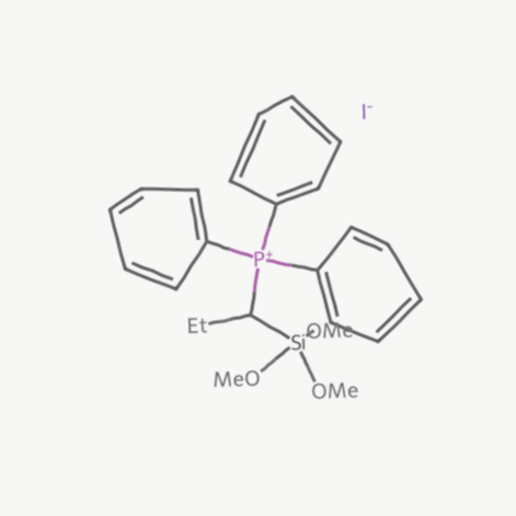 CCC([Si](OC)(OC)OC)[P+](c1ccccc1)(c1ccccc1)c1ccccc1.[I-]